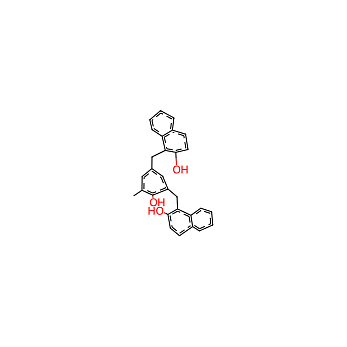 Cc1cc(Cc2c(O)ccc3ccccc23)cc(Cc2c(O)ccc3ccccc23)c1O